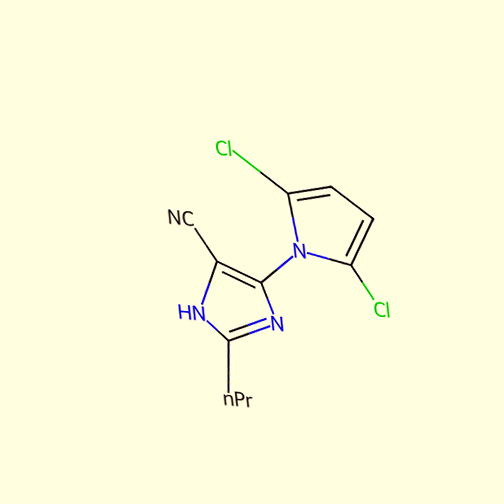 CCCc1nc(-n2c(Cl)ccc2Cl)c(C#N)[nH]1